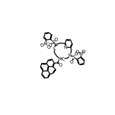 O=C(c1ccc2ccc3cccc4ccc1c2c34)N1CCCN(S(=O)(=O)c2ccccc2[N+](=O)[O-])Cc2cccc(n2)CN(S(=O)(=O)c2ccccc2[N+](=O)[O-])CC1